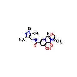 CCn1nc(C)c(CNC(=O)C2=CN3C[C@H]4OC[C@H](C)N4C(=O)C3=C(O)C2)c1C